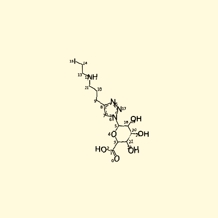 O=C(O)C1OC(n2cc(CCCNCCI)nn2)C(O)C(O)C1O